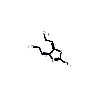 CC/C=c1/nc(C)s/c1=C/CC